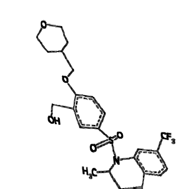 CC1CCc2ccc(C(F)(F)F)cc2N1S(=O)(=O)c1ccc(OCC2CCOCC2)c(CO)c1